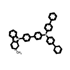 C[C@@H]1C=Cc2c(n(-c3ccc(-c4ccc(N(c5ccc(-c6ccccc6)cc5)c5ccc(C6C=CC=CC6)cc5)cc4)cc3)c3ccccc23)C1